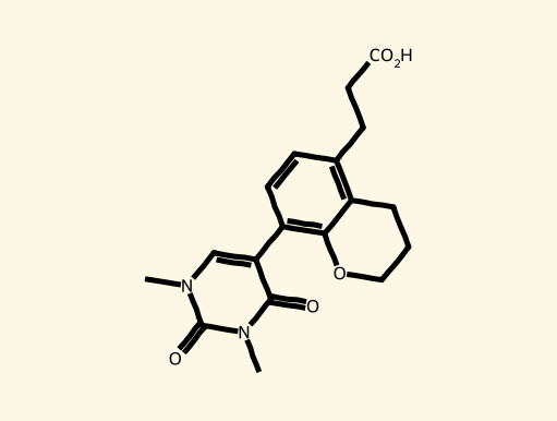 Cn1cc(-c2ccc(CCC(=O)O)c3c2OCCC3)c(=O)n(C)c1=O